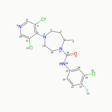 CC1CCN(c2c(Cl)cncc2Cl)CCN1C(=O)Nc1ccc(F)c(Cl)c1